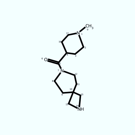 CN1CCC(C(=O)N2CCC3(CC2)CNC3)CC1